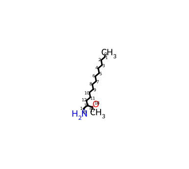 CCCCCCCCCCCCCC(CN)C(C)=O